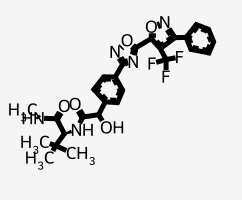 CNC(=O)[C@@H](NC(=O)C(O)c1ccc(-c2noc(-c3onc(-c4ccccc4)c3C(F)(F)F)n2)cc1)C(C)(C)C